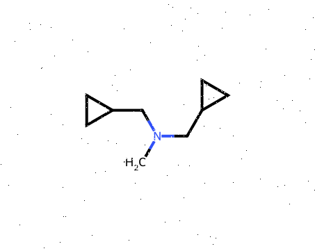 [CH2]N(CC1CC1)CC1CC1